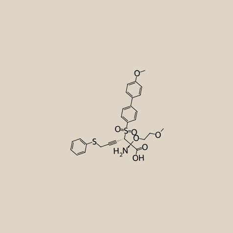 COCCO[C@](N)(C(=O)O)[C@H](C#CCSc1ccccc1)S(=O)(=O)c1ccc(-c2ccc(OC)cc2)cc1